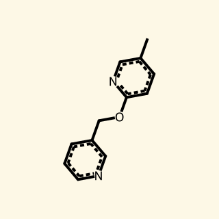 Cc1ccc(OCc2cccnc2)nc1